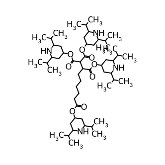 CC(C)C1CC(OC(=O)CCCCCC(C(=O)OC2CC(C(C)C)NC(C(C)C)C2)C(C(=O)OC2CC(C(C)C)NC(C(C)C)C2)C(=O)OC2CC(C(C)C)NC(C(C)C)C2)CC(C(C)C)N1